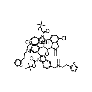 CC(C)(C)OC(=O)n1c(-c2ccc(Cl)c3c2C(C(=O)C2NCc4c(Cl)ccc(-c5cc6cc(CNCCc7cccs7)ccc6n5C(=O)OC(C)(C)C)c42)NC3)cc2cc(CNCCc3cccs3)ccc21